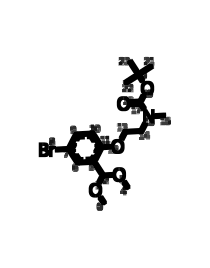 COC(OC)c1cc(Br)ccc1OCCN(C)C(=O)OC(C)(C)C